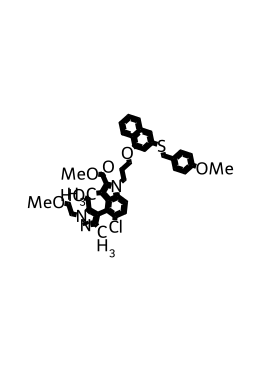 COCCn1nc(C)c(-c2c(Cl)ccc3c2c(C)c(C(=O)OC)n3CCCOc2cc(SCc3ccc(OC)cc3)cc3ccccc23)c1CO